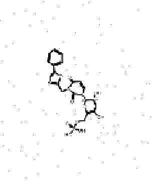 O=c1ccn([C@@H]2OC(COP(=O)(O)O)=C(O)C[C@@H]2O)c(=O)n1Cc1ncc(-c2ccccc2)o1